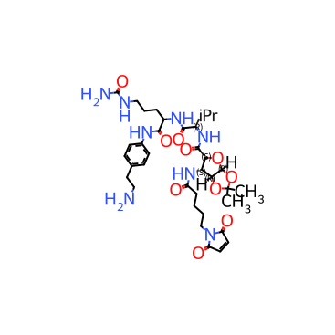 CC(C)[C@@H](NC(=O)[C@H]1O[C@@H]2OC(C)(C)O[C@@H]2[C@@H]1NC(=O)CCCCN1C(=O)C=CC1=O)C(=O)NC(CCCNC(N)=O)C(=O)Nc1ccc(CCN)cc1